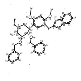 CC[C@H]1S[C@@H](c2cc(Cc3cc4ccccc4s3)c(OC)cc2OC)[C@H](OCc2ccccc2)[C@@H](OCc2ccccc2)[C@@H]1C